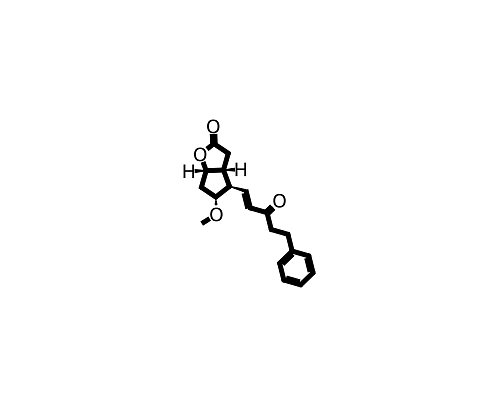 CO[C@@H]1C[C@@H]2OC(=O)C[C@@H]2[C@H]1/C=C/C(=O)CCc1ccccc1